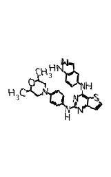 CC1CN(c2ccc(Nc3nc(Nc4ccc5[nH]ncc5c4)c4sccc4n3)cc2)CC(C)O1